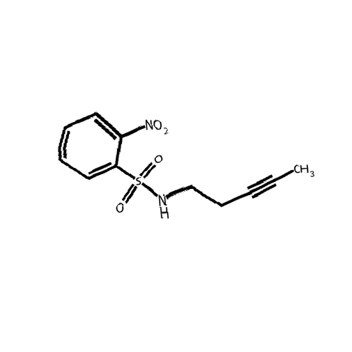 CC#CCCNS(=O)(=O)c1ccccc1[N+](=O)[O-]